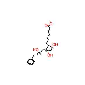 COC(=O)CCCC=CC[C@@H]1[C@@H](CC[C@@H](O)CCc2ccccc2)[C@H](O)C[C@@H]1O